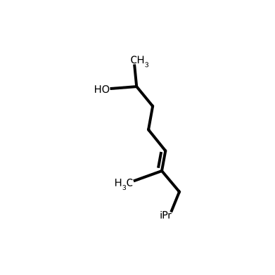 C/C(=C\CCC(C)O)CC(C)C